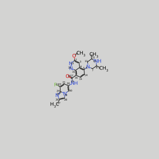 COc1cc2c(N3CC(C)NC(C)C3)ccc(C(=O)Nc3cc(F)c4nc(C)cn4c3)c2nn1